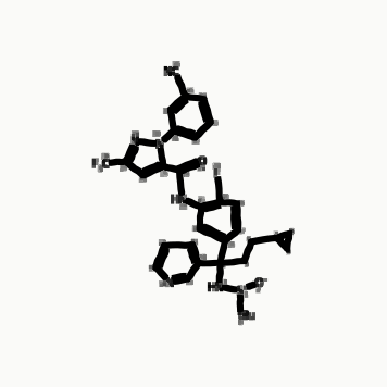 CC(C)(C)[S+]([O-])NC(CCC1CC1)(c1cccnc1)c1ccc(F)c(NC(=O)c2cc(C(F)(F)F)nn2-c2cccc(C#N)c2)c1